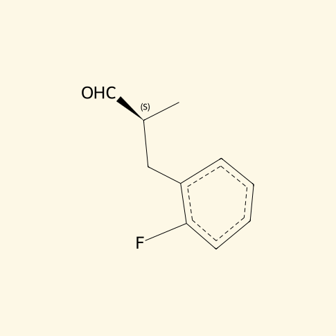 C[C@H](C=O)Cc1ccccc1F